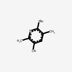 Cc1cc(C#N)c(C)nc1C(C)(C)C